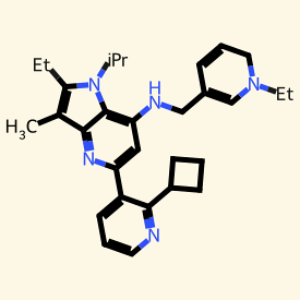 CCc1c(C)c2nc(-c3cccnc3C3CCC3)cc(NCC3=CN(CC)CC=C3)c2n1C(C)C